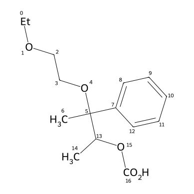 CCOCCOC(C)(c1ccccc1)C(C)OC(=O)O